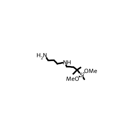 CO[Si](C)(OC)C(C)(C)CCNCCCN